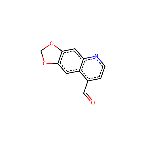 O=Cc1ccnc2cc3c(cc12)OCO3